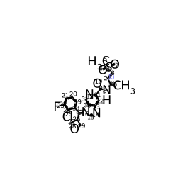 C[C@H](/C=C/S(C)(=O)=O)NC(=O)c1cc2ncn([C@H](c3cccc(F)c3Cl)C3COC3)c2cn1